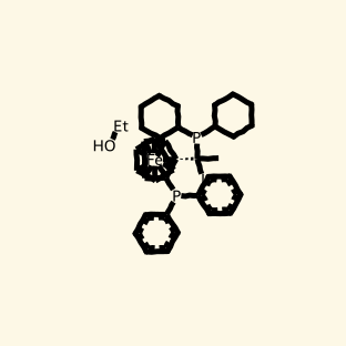 CC(I)(P(C1CCCCC1)C1CCCCC1)[C@]12[CH]3[CH]4[CH]5[C]1(P(c1ccccc1)c1ccccc1)[Fe]45321678[CH]2[CH]1[CH]6[CH]7[CH]28.CCO